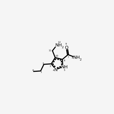 CCCc1n[nH]c(C(N)=O)c1CN